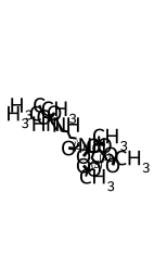 CC(=O)O[C@H]1C[C@H](OC(C)=O)CC(OC(C)=O)(C(=O)N[C@H](C=O)CCCCNNC(=O)OC(C)(C)C)C1